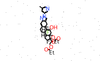 CCC(=O)OCC(=O)[C@@]1(OC(=O)CC)[C@@H](C)C[C@H]2[C@@H]3CCC4=Cc5nn(-c6cncc(C)c6)cc5C[C@]4(C)[C@@]3(F)[C@@H](O)C[C@@]21C